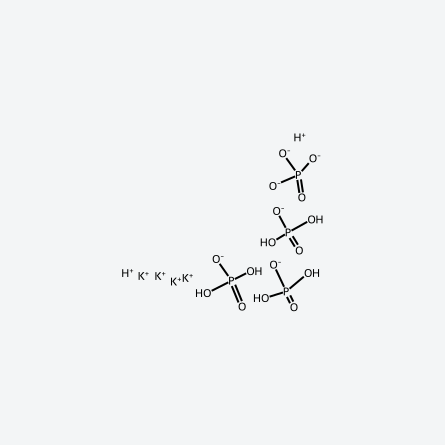 O=P([O-])(O)O.O=P([O-])(O)O.O=P([O-])(O)O.O=P([O-])([O-])[O-].[H+].[H+].[K+].[K+].[K+].[K+]